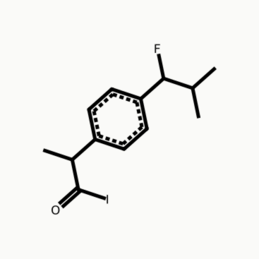 CC(C(=O)I)c1ccc(C(F)C(C)C)cc1